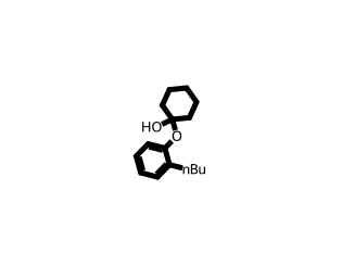 CCCCc1ccccc1OC1(O)CCCCC1